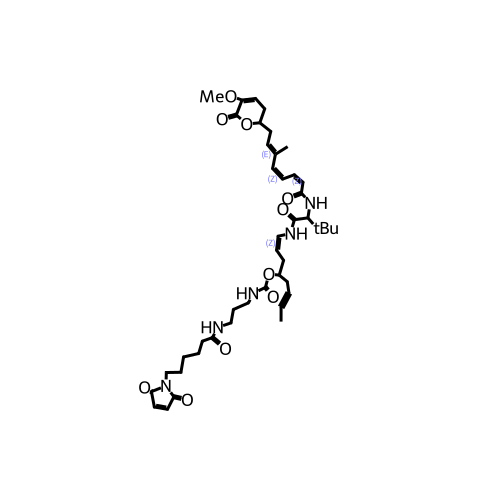 CC#CCC(C/C=C\NC(=O)C(NC(=O)\C=C/C=C\C(C)=C\CC1CC=C(OC)C(=O)O1)C(C)(C)C)OC(=O)NCCCNC(=O)CCCCCN1C(=O)C=CC1=O